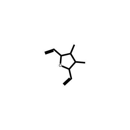 C=CC1OC(C=C)C(C)C1C